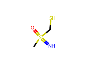 CS(=N)(=O)CS